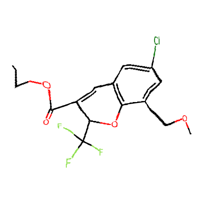 CCOC(=O)C1=Cc2cc(Cl)cc(COC)c2OC1C(F)(F)F